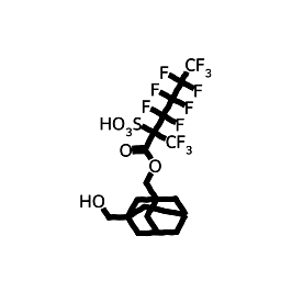 O=C(OCC12CC3CC(CC(CO)(C3)C1)C2)C(C(F)(F)F)(C(F)(F)C(F)(F)C(F)(F)C(F)(F)F)S(=O)(=O)O